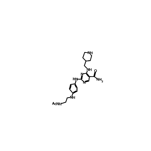 CC(=O)NCCNc1ccc(Nc2ncc(C(N)=O)c(NCC3CCNCC3)n2)cc1